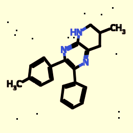 Cc1ccc(-c2nc3c(nc2-c2ccccc2)CC(C)CN3)cc1